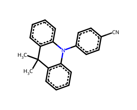 CC1(C)c2ccccc2N(c2ccc(C#N)cc2)c2ccccc21